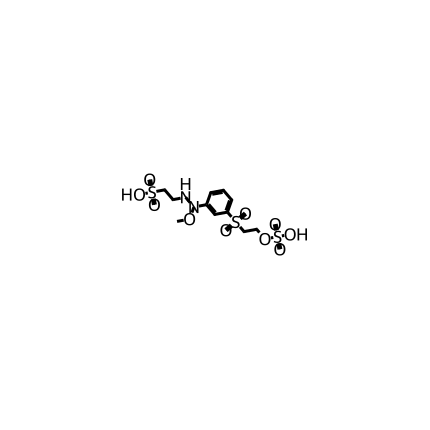 CON(NCCS(=O)(=O)O)c1cccc(S(=O)(=O)CCOS(=O)(=O)O)c1